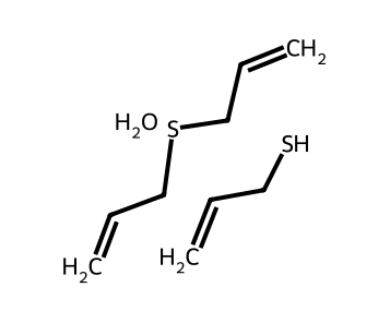 C=CCS.C=CCSCC=C.O